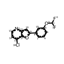 FC(F)Oc1cccc(-c2cc3nccc(Cl)c3o2)c1